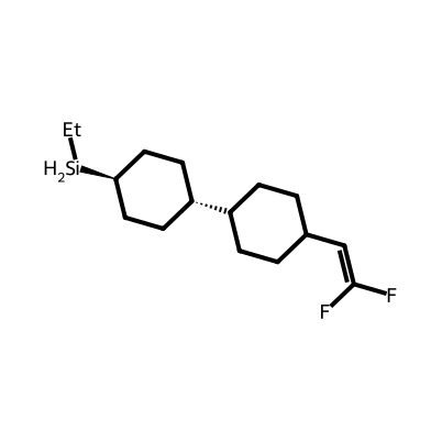 CC[SiH2][C@H]1CC[C@H](C2CCC(C=C(F)F)CC2)CC1